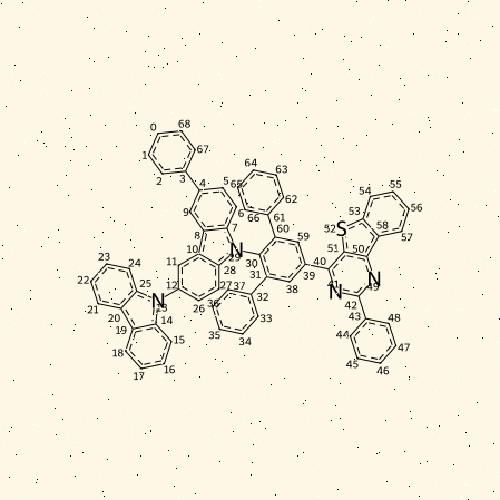 c1ccc(-c2ccc3c(c2)c2cc(-n4c5ccccc5c5ccccc54)ccc2n3-c2c(-c3ccccc3)cc(-c3nc(-c4ccccc4)nc4c3sc3ccccc34)cc2-c2ccccc2)cc1